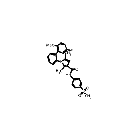 COc1ccc(F)cc1-c1ccccc1-n1c(C)cc(C(=O)Nc2ccc(S(C)(=O)=O)cc2)c1C